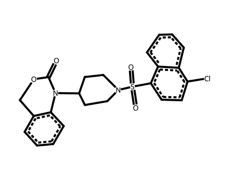 O=C1OCc2ccccc2N1C1CCN(S(=O)(=O)c2ccc(Cl)c3ccccc23)CC1